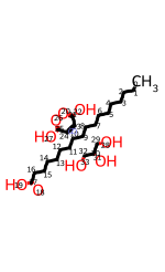 CCCCCCCCCCCCCCCCCC(=O)O.O=C(O)/C=C\C(=O)O.OCC(O)CO